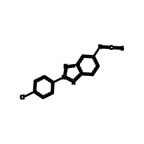 S=C=Nc1ccc2nn(-c3ccc(Cl)cc3)nc2c1